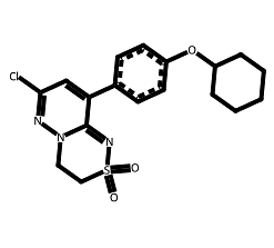 O=S1(=O)CCN2N=C(Cl)C=C(c3ccc(OC4CCCCC4)cc3)C2=N1